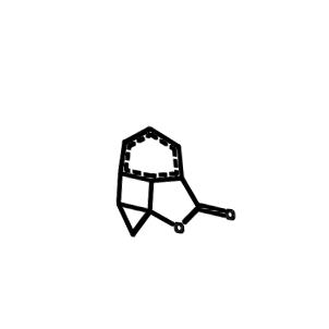 O=C1OC23CC2c2cccc1c23